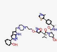 Cc1ncsc1-c1ccc([C@H](C)NC(=O)[C@@H]2C[C@@H](O)CN2C(=O)[C@@H](c2cc(OCCCN3CCN(Cc4cc5cc(-c6ccccc6O)nnc5[nH]4)CC3)no2)C(C)C)cc1